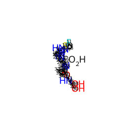 Cc1c(Nc2nc3cccc(F)c3s2)nnc2c1CCCN2c1ccc(-c2cnn(CC34CC5(C)CC(C)(C3)CC(OCCNCC[C@H](O)CO)(C5)C4)c2C)c(C(=O)O)n1